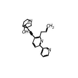 C=CCc1nc(-c2cccnc2)ccc1C#CC1(O)CN2CCC1CC2